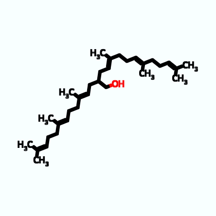 CC(C)=CCC/C(C)=C/CC/C(C)=C/CC(CO)C/C=C(\C)CC/C=C(\C)CCC=C(C)C